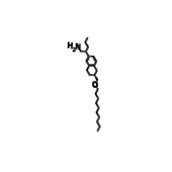 CCCCCCCCCCOC[C@H]1CCc2cc(C(CN)CCC)ccc2C1